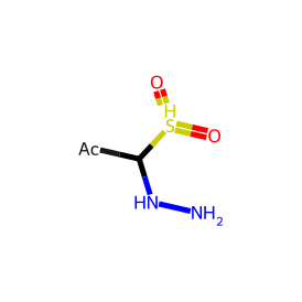 CC(=O)C(NN)[SH](=O)=O